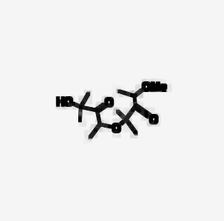 COC(C)C(=O)C(C)(C)OC(C)C(=O)C(C)(C)O